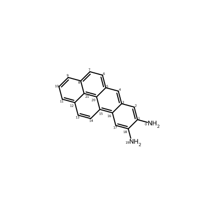 Nc1cc2cc3ccc4cccc5ccc(c2cc1N)c3c45